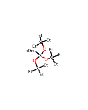 CCCCCCCCCC[Si](O[Si](CC)(CC)CC)(O[Si](CC)(CC)CC)O[Si](CC)(CC)CC